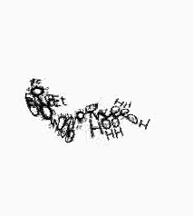 CCOc1cc(CN2CCC3(CC2)CN(c2ccc(C(=O)NC[C@H](O)[C@@H](O)[C@H](O)[C@H](O)CO)cc2)C(=O)O3)cc(OCC)c1-c1ccc(F)cc1